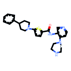 O=C(Nc1cnccc1N1CCNCC1)c1ccc(N2CCC(c3ccccc3)CC2)s1